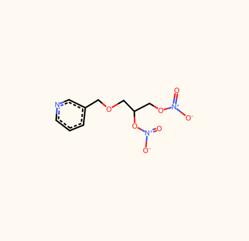 O=[N+]([O-])OCC(COCc1cccnc1)O[N+](=O)[O-]